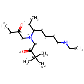 CCNCCCCC(CC)N(CC(=O)CC)CC(=O)C(C)(C)C